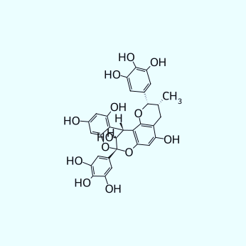 C[C@@H]1Cc2c(O)cc3c(c2O[C@@H]1c1cc(O)c(O)c(O)c1)[C@H]1c2c(O)cc(O)cc2O[C@@](c2cc(O)c(O)c(O)c2)(O3)[C@@H]1O